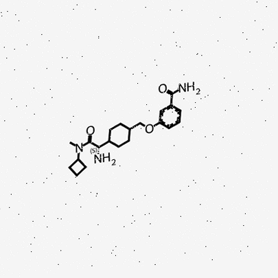 CN(C(=O)[C@@H](N)C1CCC(COc2cccc(C(N)=O)c2)CC1)C1CCC1